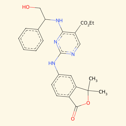 CCOC(=O)c1cnc(Nc2ccc3c(c2)C(C)(C)OC3=O)nc1NC(CO)c1ccccc1